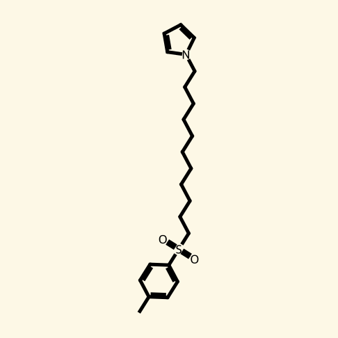 Cc1ccc(S(=O)(=O)CCCCCCCCCCCn2cccc2)cc1